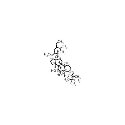 CCC(CC(O)C(C)[C@H]1CC[C@H]2[C@@H]3[C@@H](O)[C@H](O)[C@H]4C[C@@H](O[Si](C)(C)C(C)(C)C)CC[C@]4(C)[C@H]3CC[C@]12C)C(C)C